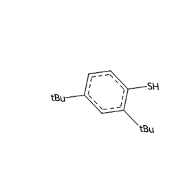 CC(C)(C)c1ccc(S)c(C(C)(C)C)c1